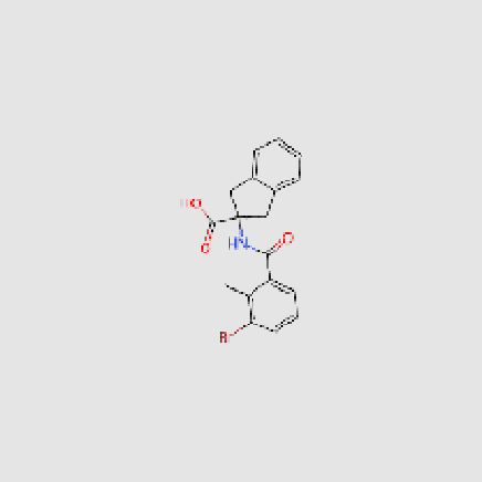 Cc1c(Br)cccc1C(=O)NC1(C(=O)O)Cc2ccccc2C1